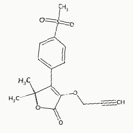 C#CCOC1=C(c2ccc(S(C)(=O)=O)cc2)C(C)(C)OC1=O